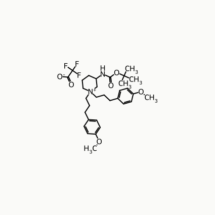 COc1ccc(CCC[N+]2(CCCc3ccc(OC)cc3)CCCC(NC(=O)OC(C)(C)C)C2)cc1.O=C([O-])C(F)(F)F